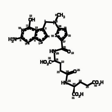 CN(Cc1csc2nc(N)nc(O)c12)c1ccc(C(=O)N[C@@H](CCC(=O)N[C@@H](CCC(=O)O)C(=O)O)C(=O)O)s1